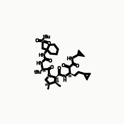 C[C@@H]1[C@@H](C(=O)N[C@@H](CCC2CC2)C(=O)C(=O)NC2CC2)N(C(=O)[C@@H](NC(=O)NC2(CS(=O)(=O)C(C)(C)C)CCCCC2)C(C)(C)C)C[C@@H]1C